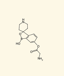 NCC(=O)Oc1ccc2c(c1)B(O)OC21CCNCC1